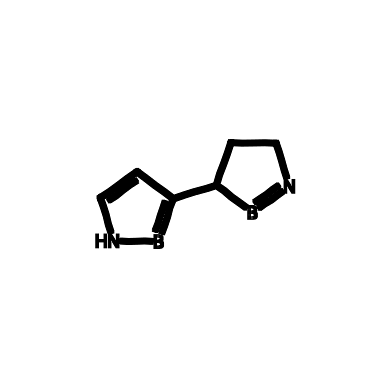 B1=NCCC1c1b[nH]cc1